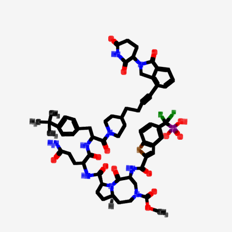 COC(=O)N1CC[C@H]2CC[C@@H](C(=O)NC(CCC(N)=O)C(=O)NC(Cc3ccc(C(C)(C)C)cc3)C(=O)N3CCC(CCC#Cc4cccc5c4CN(C4CCC(=O)NC4=O)C5=O)CC3)N2C(=O)[C@@H](NC(=O)c2cc3cc(C(F)(F)P(=O)(O)O)ccc3s2)C1